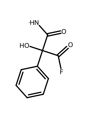 [NH]C(=O)C(O)(C(=O)F)c1ccccc1